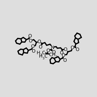 CC(C)(C)OC(=O)N(CCCC(=O)OC(COC(=O)C1CC2CCCCC2C1)COC(=O)C1CC2CCCCC2C1)CCCC(=O)OC(COC(=O)C1CC2CCCCC2C1)COC(=O)C1CC2CCCCC2C1